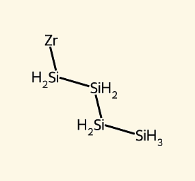 [SiH3][SiH2][SiH2][SiH2][Zr]